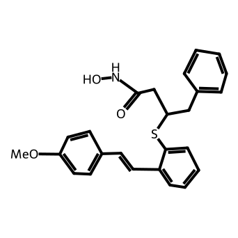 COc1ccc(C=Cc2ccccc2SC(CC(=O)NO)Cc2ccccc2)cc1